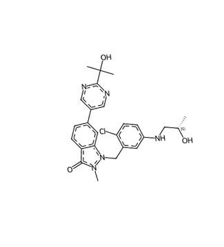 C[C@H](O)CNc1ccc(Cl)c(Cn2c3cc(-c4cnc(C(C)(C)O)nc4)ccc3c(=O)n2C)c1